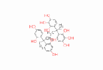 CC(C)(c1ccc(O)c(O)c1O)c1ccc(O)c(O)c1O.CC(C)(c1ccc(O)cc1O)c1ccc(O)cc1O